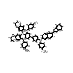 CC(C)(C)c1ccc(N(c2ccc(-c3cc4c5c(c3)N(c3ccc(C(C)(C)C)cc3)c3cc6c(cc3B5c3cc5c(cc3N4c3ccc(C(C)(C)C)cc3)OCCO5)OCCO6)cc2)c2ccc3cc(-c4cc5ccccc5o4)ccc3c2)cc1